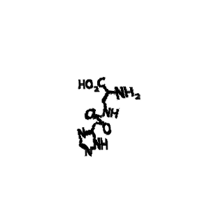 NC(CNS(=O)(=O)c1ncn[nH]1)C(=O)O